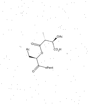 CCCCCC(=O)[C@@H](CC(C)=O)OC(=O)[C@H](C)[C@@H](OC(C)=O)C(=O)O